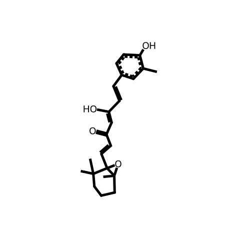 Cc1cc(/C=C/C(O)=C/C(=O)/C=C/C23OC2(C)CCCC3(C)C)ccc1O